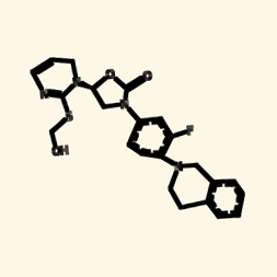 O=C1O[C@H](N2CC=CN=C2SCO)CN1c1ccc(N2CCc3ccccc3C2)c(F)c1